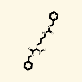 O=C(NCCCC[C@H](NCl)C(=O)OCc1ccccc1)OCc1ccccc1